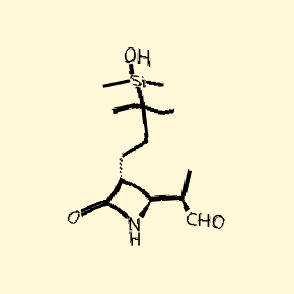 C[C@@H](C=O)[C@H]1NC(=O)[C@@H]1CCC(C)(C)[Si](C)(C)O